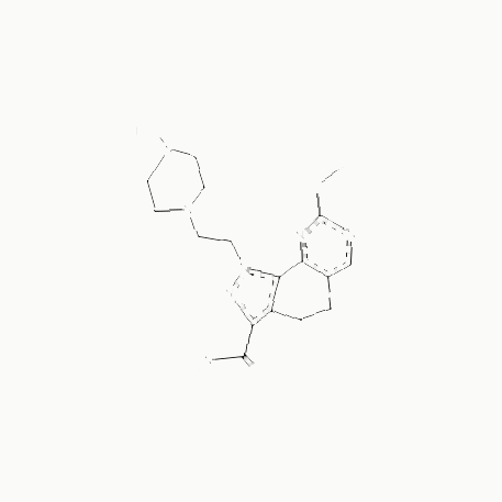 CSc1ncc2c(n1)-c1c(c(C(N)=O)nn1CCN1CCN(C)CC1)CC2